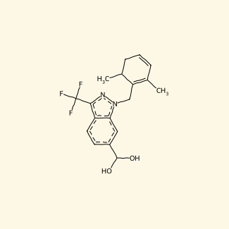 CC1=C(Cn2nc(C(F)(F)F)c3ccc(C(O)O)cc32)C(C)CC=C1